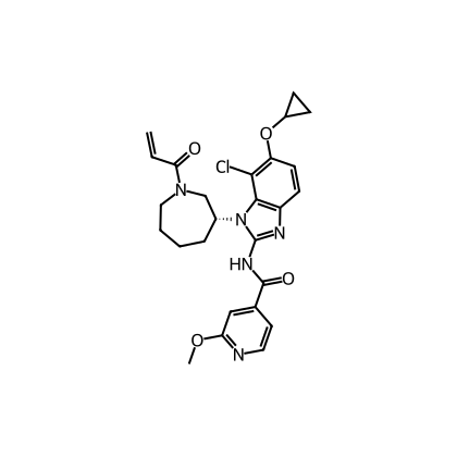 C=CC(=O)N1CCCC[C@@H](n2c(NC(=O)c3ccnc(OC)c3)nc3ccc(OC4CC4)c(Cl)c32)C1